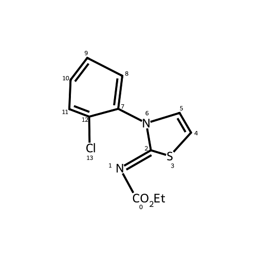 CCOC(=O)/N=c1\sccn1-c1ccccc1Cl